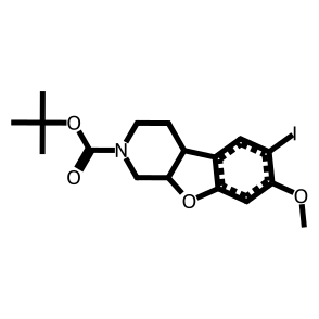 COc1cc2c(cc1I)C1CCN(C(=O)OC(C)(C)C)CC1O2